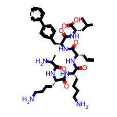 C=CC[C@H](NC(=O)[C@H](CCCCN)NC(=O)[C@H](CCCCN)NC(=O)[C@H](C)N)C(=O)N[C@@H](Cc1ccc(-c2ccccc2)cc1)C(=O)N[C@@H](CC(C)C)C(=O)O